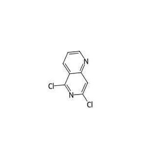 Clc1cc2ncccc2c(Cl)n1